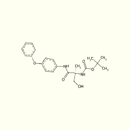 CC(C)(C)OC(=O)N[C@@](C)(CO)C(=O)Nc1ccc(Oc2ccccc2)cc1